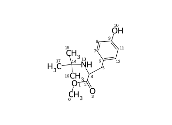 COC(=O)C(Cc1ccc(O)cc1)NC(C)(C)C